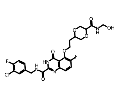 O=C(NCc1ccc(F)c(Cl)c1)c1nc2ccc(F)c(OCCC3COC(C(=O)NCO)CO3)c2c(=O)[nH]1